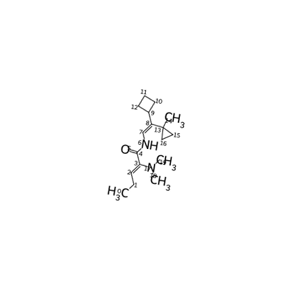 CC/C=C(/C(=O)N/C=C(/C1CCC1)C1(C)CC1)N(C)C